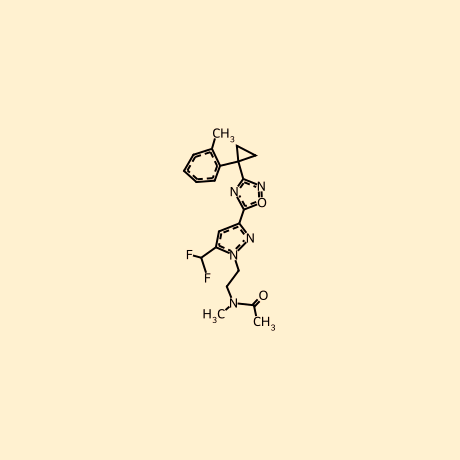 CC(=O)N(C)CCn1nc(-c2nc(C3(c4ccccc4C)CC3)no2)cc1C(F)F